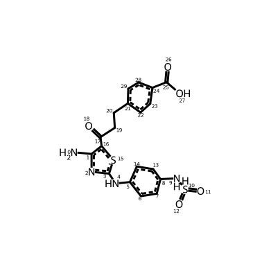 Nc1nc(Nc2ccc(N[SH](=O)=O)cc2)sc1C(=O)CCc1ccc(C(=O)O)cc1